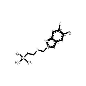 C[Si](C)(C)CCOCn1cc2cc(Br)c(F)cc2n1